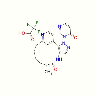 CC1CCCCc2cc(ccn2)-c2c(cnn2-n2cnccc2=O)NC1=O.O=C(O)C(F)(F)F